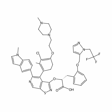 CC1=C(c2c(-c3ccc4c(ccn4C)c3)ncc3snc(O[C@H](Cc4ccccc4OCc4ccnn4CC(F)(F)F)C(=O)O)c23)CCC(OCCN2CCN(C)CC2)=C1Cl